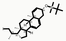 C[C@H](CI)[C@H]1CC[C@H]2C3=CC=C4C[C@@H](O[Si](C)(C)C(C)(C)C)C=C[C@]4(C)[C@H]3CC[C@]12C